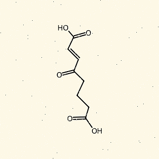 O=C(O)C=CC(=O)CCCC(=O)O